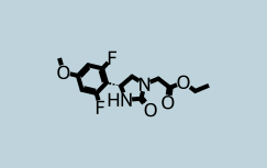 CCOC(=O)CN1C[C@@H](c2c(F)cc(OC)cc2F)NC1=O